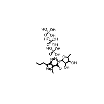 CCCc1nn(C)c2c(=O)n(C3OC(C)C(O)C3O)nnc12.O=P(O)(O)O.O=P(O)(O)O.O=P(O)(O)O